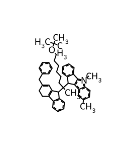 Cc1ccc2c(c1)c1c(n2C)-c2ccccc2C1C(C)(CCCCCCOC(C)(C)C)C1C2=C(CCC(Cc3ccccc3)=C2)c2ccccc21